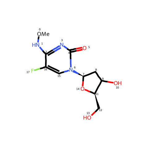 CONc1nc(=O)n([C@H]2CC(O)[C@@H](CO)O2)cc1F